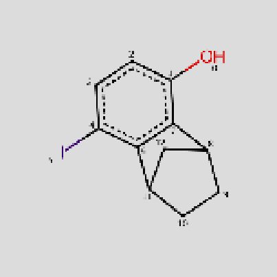 Oc1ccc(I)c2c1C1CCC2C1